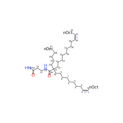 CCCCCCCC/C=C\CCCCCCCCC(CCCCCCCC/C=C\CCCCCCCC)(CCCCCCCCCCCCCC)C(=O)N[CH]CC([NH])=O